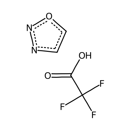 O=C(O)C(F)(F)F.c1conn1